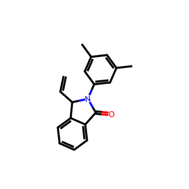 C=CC1c2ccccc2C(=O)N1c1cc(C)cc(C)c1